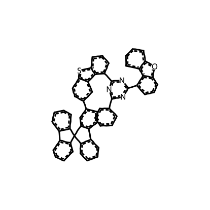 c1ccc(-c2nc(-c3cccc4oc5ccccc5c34)nc(-c3cccc4sc5ccc(-c6ccc7c(c6)C6(c8ccccc8-c8ccccc86)c6ccccc6-7)cc5c34)n2)cc1